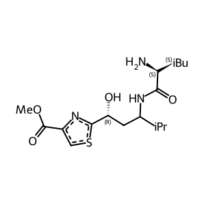 CC[C@H](C)[C@H](N)C(=O)NC(C[C@@H](O)c1nc(C(=O)OC)cs1)C(C)C